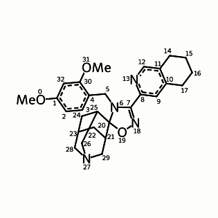 COc1ccc(CN2C(c3cc4c(cn3)CCCC4)=NOC23C2CC4CC3CN(C4)C2)c(OC)c1